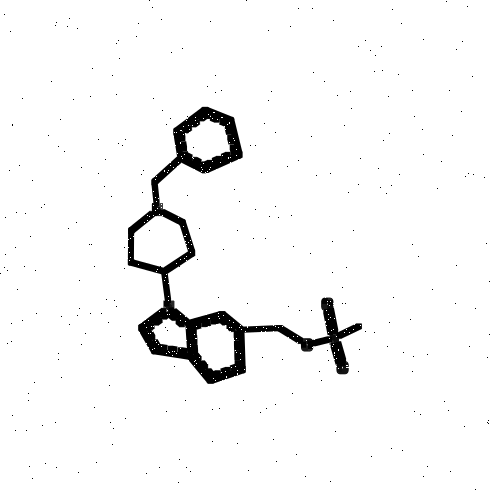 CS(=O)(=O)OCc1ccc2ccn(C3CCN(Cc4ccccc4)CC3)c2c1